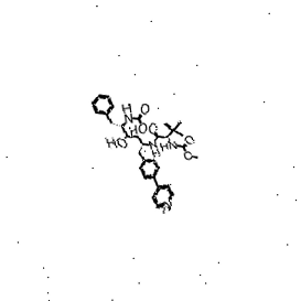 COC(=O)N[C@H](C(=O)N[C@@H](Cc1ccc(-c2ccncc2)cc1)C[C@@H](O)[C@H](Cc1ccccc1)NC(=O)O)C(C)(C)C